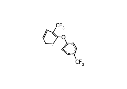 FC(F)(F)C1=C(Oc2ccc(C(F)(F)F)cc2)[CH]CC=C1